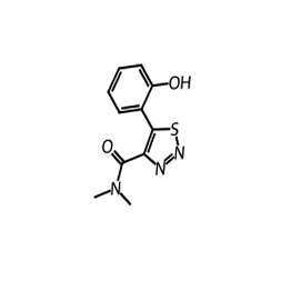 CN(C)C(=O)c1nnsc1-c1ccccc1O